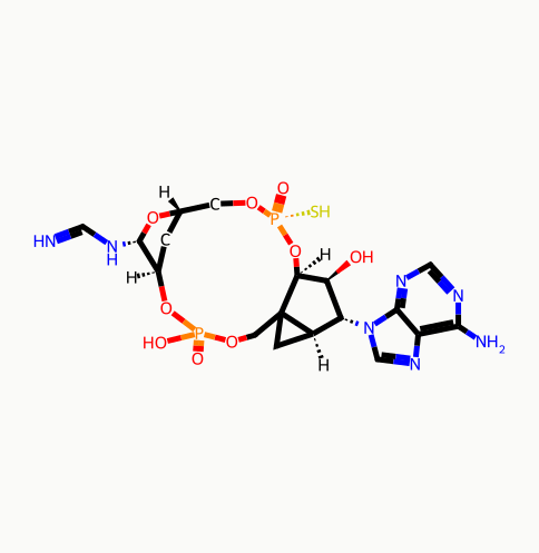 N=CN[C@@H]1O[C@@H]2CO[P@](=O)(S)O[C@H]3[C@@H](O)[C@H](n4cnc5c(N)ncnc54)[C@H]4CC43COP(=O)(O)O[C@@H]1C2